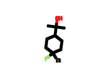 CCC1(F)CCC(C(C)(C)O)CC1